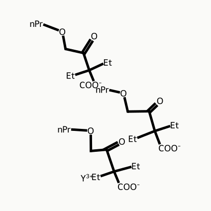 CCCOCC(=O)C(CC)(CC)C(=O)[O-].CCCOCC(=O)C(CC)(CC)C(=O)[O-].CCCOCC(=O)C(CC)(CC)C(=O)[O-].[Y+3]